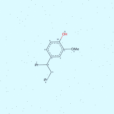 COc1cc(C(CC(C)C)C(C)C)ccc1O